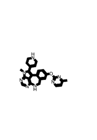 Cc1ccnc(Oc2ccc3c(c2)CNc2ncnc4c2c-3c(C2=CCNCC2)n4C)n1